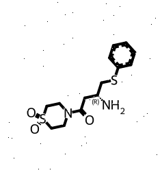 N[C@@H](CSc1ccccc1)CC(=O)N1CCS(=O)(=O)CC1